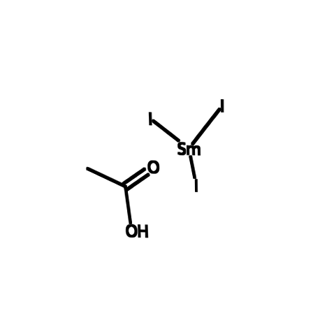 CC(=O)O.[I][Sm]([I])[I]